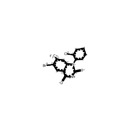 O=c1[nH]c(=O)n(-c2ccccc2Cl)c2cc(C(F)(F)F)c(Br)cc12